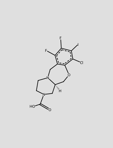 O=C(O)N1CCN2Cc3c(F)c(F)c(I)c(Cl)c3OC[C@H]2C1